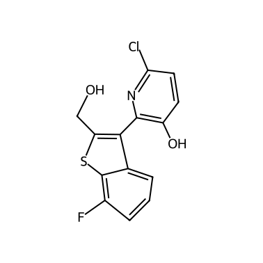 OCc1sc2c(F)cccc2c1-c1nc(Cl)ccc1O